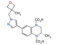 C[C@H]1CN(C(=O)O)c2cc(-c3cnn(CC4(C)COC4)c3)ccc2N1C(=O)O